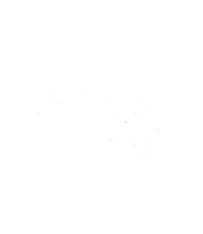 COc1cc(N2CCN(CC3CCN(c4ccc5c(c4)C(=O)N(C4CCC(=O)NC4=O)C5=O)CC3)CC2)c(-c2cnn(C)c2)cc1Nc1ncc(Br)c(Nc2ccccc2P(C)(C)=O)n1